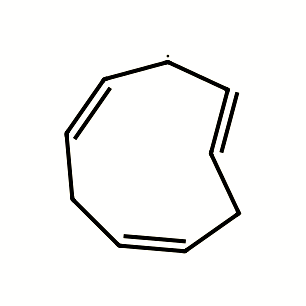 [CH]1/C=C\C/C=C\C/C=C/1